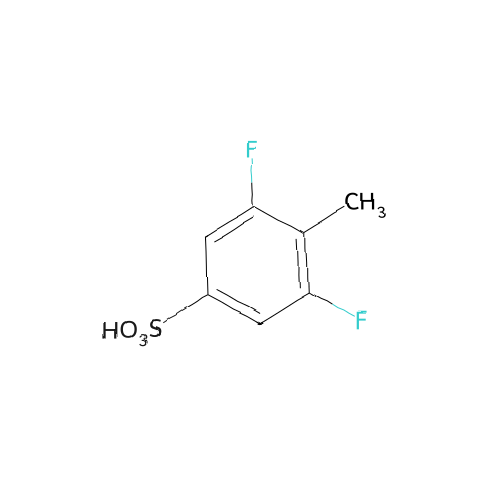 Cc1c(F)cc(S(=O)(=O)O)cc1F